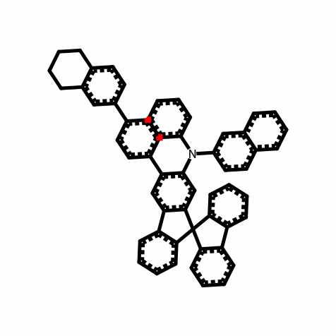 c1ccc(N(c2ccc3ccccc3c2)c2cc3c(cc2-c2ccc(-c4ccc5c(c4)CCCC5)cc2)-c2ccccc2C32c3ccccc3-c3ccccc32)cc1